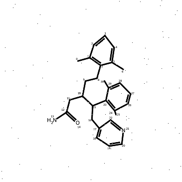 Cc1cccc(C)c1CC[C](CC(N)=O)C(Cc1cccnc1)c1c(C)cccc1C